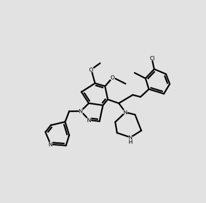 COc1cc2c(cnn2Cc2ccncc2)c(C(CCc2cccc(Cl)c2C)N2CCNCC2)c1OC